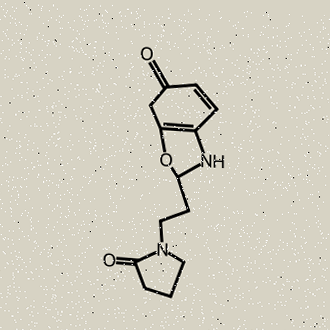 O=C1C=CC2=C(C1)OC(CCN1CCCC1=O)N2